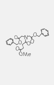 COC(=O)CCC(=O)N(CC(=O)OCc1ccccc1)CC(=O)OCc1ccccc1